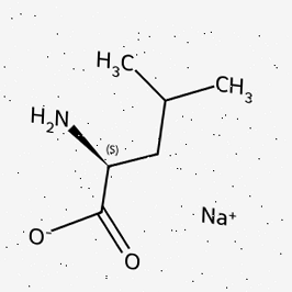 CC(C)C[C@H](N)C(=O)[O-].[Na+]